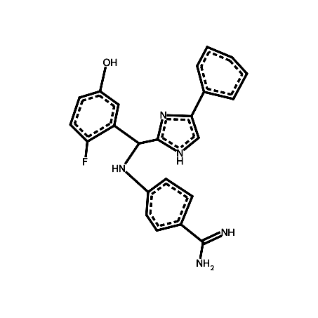 N=C(N)c1ccc(NC(c2nc(-c3ccccc3)c[nH]2)c2cc(O)ccc2F)cc1